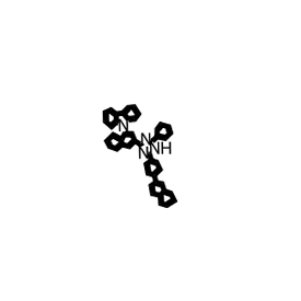 c1ccc(C2=NC(c3cc(-n4c5ccccc5c5ccccc54)c4ccccc4c3)=NC(c3ccc(-c4ccc5ccccc5c4)cc3)N2)cc1